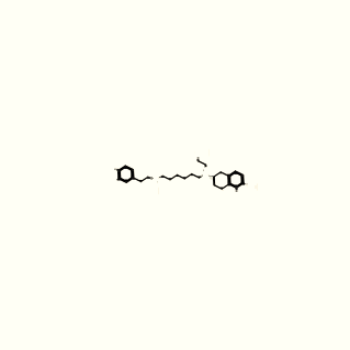 CCCN(CCCCCCNCCc1ccc(O)c(C)c1)[C@H]1CCc2c(ccc(O)c2O)C1